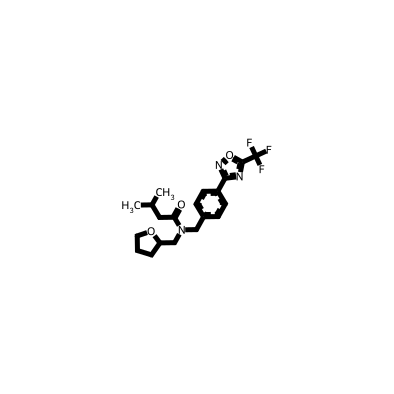 CC(C)CC(=O)N(Cc1ccc(-c2noc(C(F)(F)F)n2)cc1)CC1CCCO1